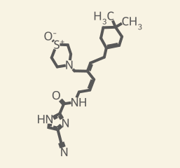 CC1(C)CC=C(C/C=C(\C=C/CNC(=O)c2nc(C#N)c[nH]2)CN2CC[S+]([O-])CC2)CC1